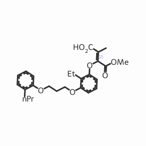 CCCc1ccccc1OCCCOc1cccc(O/C(C(=O)OC)=C(/C)C(=O)O)c1CC